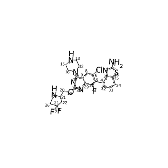 Nc1nc2c(-c3c(Cl)cc4c(N5CCNCC5)nc(OCC5CC(F)(F)CN5)nc4c3F)cccc2s1